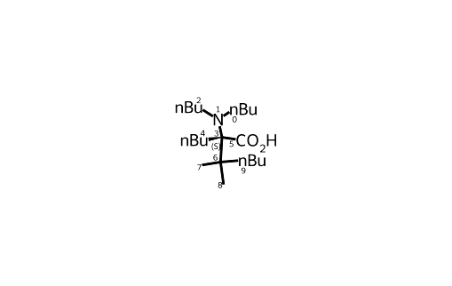 CCCCN(CCCC)[C@](CCCC)(C(=O)O)C(C)(C)CCCC